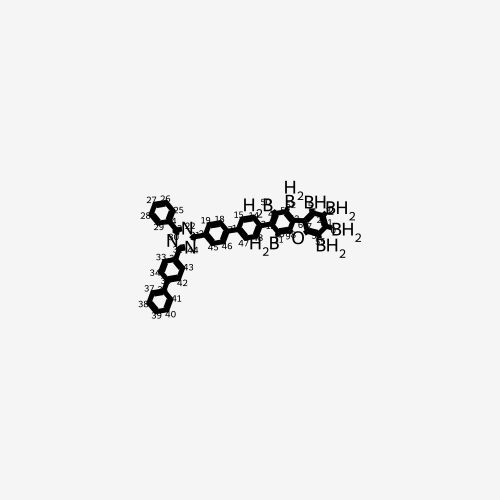 Bc1c(B)c(B)c2c(oc3c(B)c(-c4ccc(-c5ccc(-c6nc(-c7ccccc7)nc(-c7ccc(-c8ccccc8)cc7)n6)cc5)cc4)c(B)c(B)c32)c1B